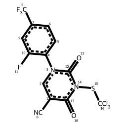 N#Cc1cn(-c2ccc(C(F)(F)F)cc2F)c(=O)n(SC(Cl)(Cl)Cl)c1=O